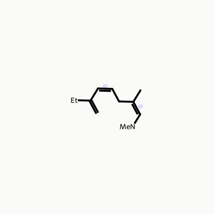 C=C(/C=C\C/C(C)=C\NC)CC